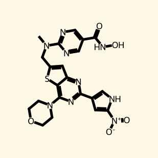 CN(Cc1cc2nc(-c3c[nH]c([N+](=O)[O-])c3)nc(N3CCOCC3)c2s1)c1ncc(C(=O)NO)cn1